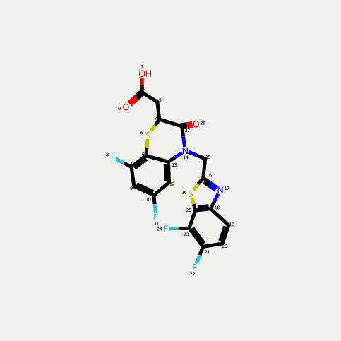 O=C(O)CC1Sc2c(F)cc(F)cc2N(Cc2nc3ccc(F)c(F)c3s2)C1=O